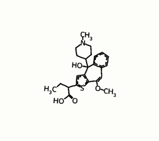 CCC(C(=O)O)c1cc2c(s1)C(OC)=Cc1ccccc1C2(O)C1CCN(C)CC1